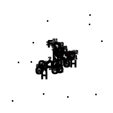 CS(=O)(=O)Nc1ccc2c(c1)S(=O)(=O)N=C(C1=C(O)C3C4CCC(CC4)C3N(Cc3ccc(F)cc3Cl)C1=O)N2